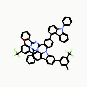 Cc1cc(-c2ccc3c4ccc(-c5cc(C)cc(C(F)(F)F)c5)cc4n(-c4ccc(-c5cccc6c5c5ccccc5n6-c5ccccc5)cc4-c4nc(-c5ccccc5)nc(-c5ccccc5)n4)c3c2)cc(C(F)(F)F)c1